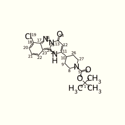 CC(C)(C)OC(=O)N1CCC(c2cc(=O)n3nc4c(Cl)cccc4c3[nH]2)CC1